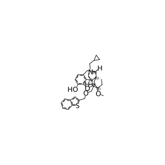 CO[C@]12CC[C@@]3(C[C@H]1COCc1cc4ccccc4s1)[C@H]1Cc4ccc(O)c5c4[C@@]3(CCN1CC1CC1)C2O5